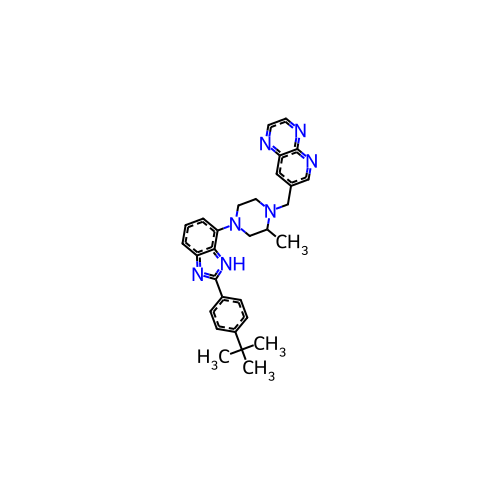 CC1CN(c2cccc3nc(-c4ccc(C(C)(C)C)cc4)[nH]c23)CCN1Cc1cnc2nccnc2c1